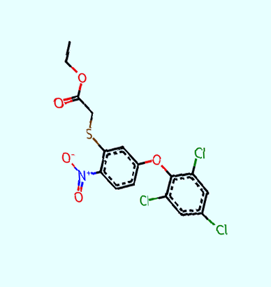 CCOC(=O)CSc1cc(Oc2c(Cl)cc(Cl)cc2Cl)ccc1[N+](=O)[O-]